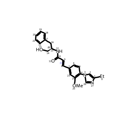 CCc1cn(-c2ccc(/C=C/C(=O)N[C@@H](CO)Cc3ccccc3)cc2OC)cn1